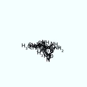 Cc1nc(-c2ccc(COC(C)(C)C)cc2)nc(C)c1C(=O)NC(CCN)C(=O)N(C)C1C(=O)NC(C)C(=O)NC(C(=O)NCC#N)Cc2ccc(OCCN)c(c2)-c2cc1ccc2OCCN